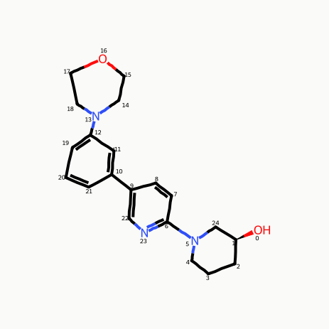 O[C@H]1CCCN(c2ccc(-c3[c]c(N4CCOCC4)ccc3)cn2)C1